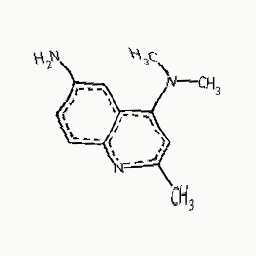 Cc1cc(N(C)C)c2cc(N)ccc2n1